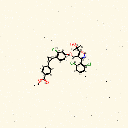 COC(=O)c1ccc(C2CC2c2ccc(OCc3c(C4=C(Cl)C=CCC4Cl)noc3C(C)(C)O)cc2Cl)cc1